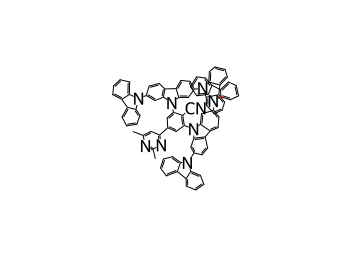 Cc1cc(-c2cc(-n3c4cc(-n5c6ccccc6c6ccccc65)ccc4c4ccc(-n5c6ccccc6c6ccccc65)cc43)c(C#N)c(-n3c4cc(-n5c6ccccc6c6ccccc65)ccc4c4ccc(-n5c6ccccc6c6ccccc65)cc43)c2)nc(C)n1